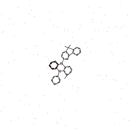 Cc1cccc(N(c2ccccc2)c2ccc3c(c2)-c2ccccc2C3(C)C)c1N(c1ccccc1)c1ccccc1